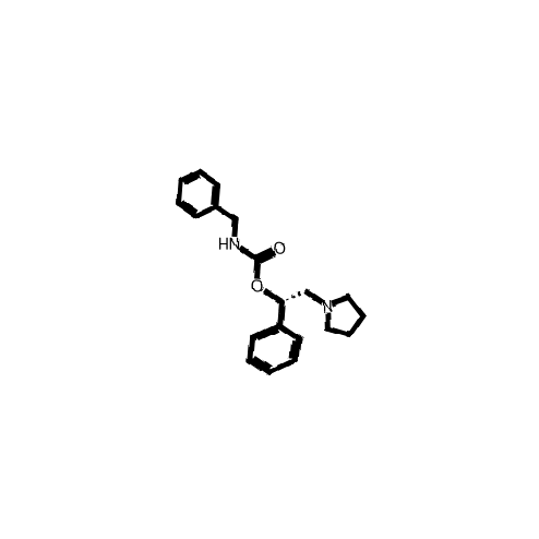 O=C(NCc1ccccc1)O[C@H](CN1CCCC1)c1ccccc1